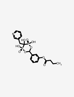 CCCC(=O)Oc1cccc(C2OP(=O)(O)C(O)(Cc3cccnc3)P(=O)(O)O2)c1